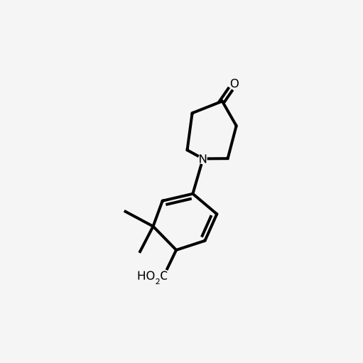 CC1(C)C=C(N2CCC(=O)CC2)C=CC1C(=O)O